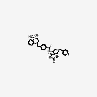 O=C1NC(=O)C2(CN(Cc3ccncc3)CC2NC(=O)c2ccc(CN3CCS(O)(O)c4ccccc43)cc2)N1